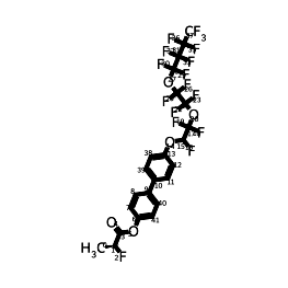 C[C@H](F)C(=O)Oc1ccc(-c2ccc(OC(F)C(F)(F)OC(F)(F)C(F)(F)OC(F)(F)C(F)(F)C(F)(F)C(F)(F)F)cc2)cc1